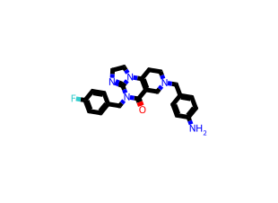 Nc1ccc(CN2CCC3=C(C2)C(=O)N(Cc2ccc(F)cc2)C2=NCCN23)cc1